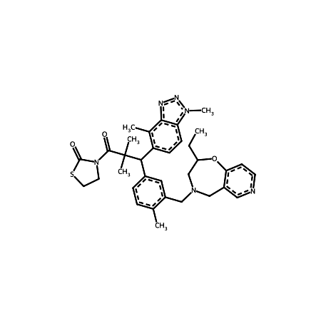 CCC1CN(Cc2cc(C(c3ccc4c(nnn4C)c3C)C(C)(C)C(=O)N3CCSC3=O)ccc2C)Cc2cnccc2O1